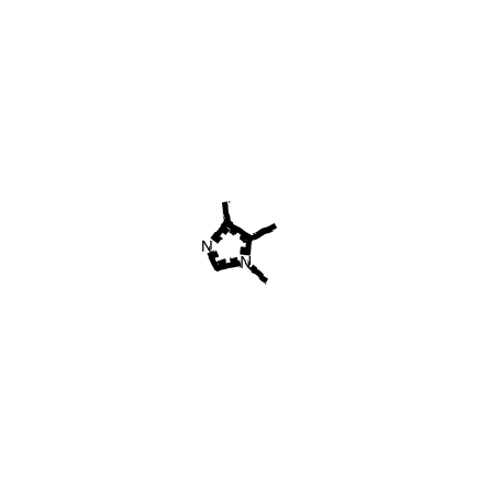 [CH2]c1ncn(C)c1C